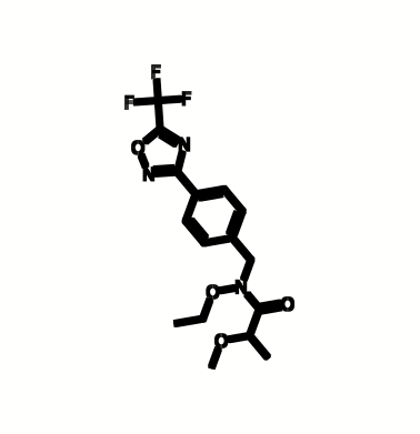 CCON(Cc1ccc(-c2noc(C(F)(F)F)n2)cc1)C(=O)C(C)OC